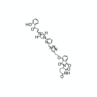 O=C1CCC(N2C(=O)c3cccc(OCCc4cn(Cc5cccc(N6C[C@H]7C[C@@H]6CN7/C=C/C(=O)c6ccccc6O)n5)nn4)c3C2=O)C(=O)N1